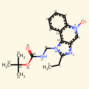 CCc1nc2c[n+]([O-])c3ccccc3c2n1CNC(=O)OC(C)(C)C